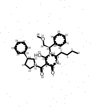 CCCCc1nc(=O)c(C(=O)N2CC[C@@H](c3ccccc3)C2)c(O)n1[C@@H](COC)c1ccccc1